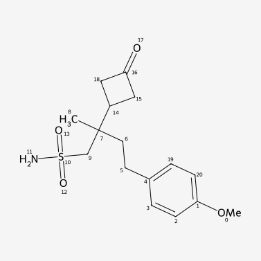 COc1ccc(CCC(C)(CS(N)(=O)=O)C2CC(=O)C2)cc1